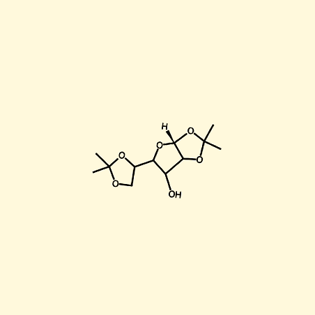 CC1(C)OCC(C2O[C@@H]3OC(C)(C)OC3C2O)O1